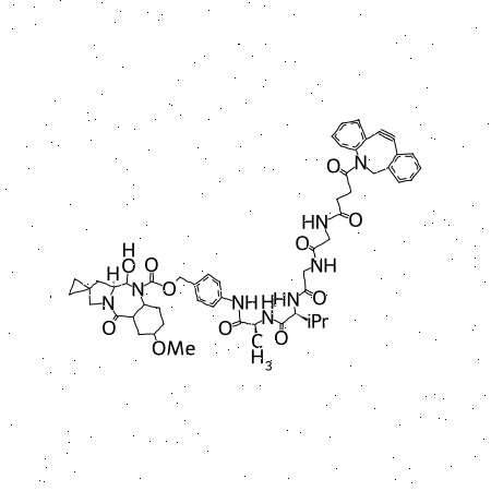 COC1CCC2C(C1)C(=O)N1CC3(CC3)C[C@H]1C(O)N2C(=O)OCc1ccc(NC(=O)[C@H](C)NC(=O)[C@@H](NC(=O)CNC(=O)CNC(=O)CCC(=O)N2Cc3ccccc3C#Cc3ccccc32)C(C)C)cc1